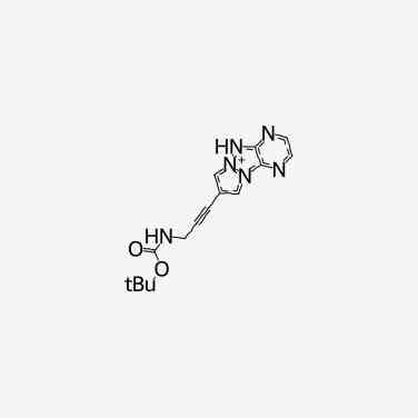 CC(C)(C)OC(=O)NCC#Cc1cn2c3nccnc3[nH][n+]2c1